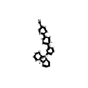 C[C@@]12C=CCCC1N(c1cccc(-c3ccc(-c4ccc(C#N)cn4)cc3)c1)C1=C2C=CCC1